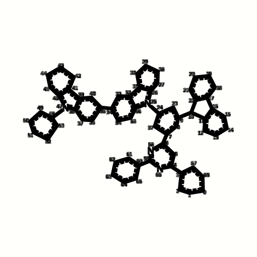 c1ccc(-c2cc(-c3cc(C4c5ccccc5-c5ccccc54)cc(-n4c5ccccc5c5cc(-c6ccc7c(c6)c6ccccc6n7-c6ccccc6)ccc54)c3)nc(-c3ccccc3)n2)cc1